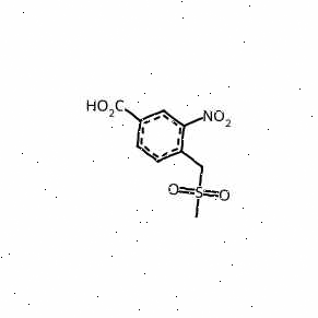 CS(=O)(=O)Cc1ccc(C(=O)O)cc1[N+](=O)[O-]